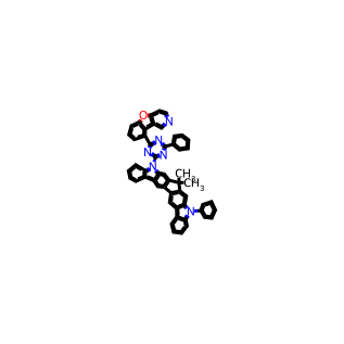 CC1(C)c2cc3c(cc2-c2cc4c5ccccc5n(-c5nc(-c6ccccc6)nc(-c6cccc7oc8ccncc8c67)n5)c4cc21)c1ccccc1n3-c1ccccc1